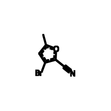 Cc1cc(Br)c(C#N)o1